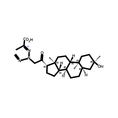 C=NN(CC(=O)[C@H]1CC[C@H]2[C@@H]3CC[C@@H]4C[C@](C)(O)CC[C@]4(C)[C@H]3CC[C@]12C)/N=C(\C)C(=O)O